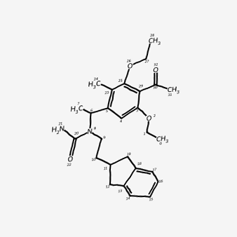 CCOc1cc(C(C)N(CCC2Cc3ccccc3C2)C(N)=O)c(C)c(OCC)c1C(C)=O